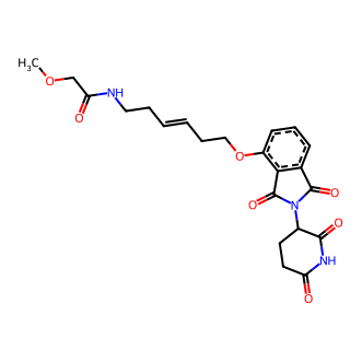 COCC(=O)NCC/C=C/CCOc1cccc2c1C(=O)N(C1CCC(=O)NC1=O)C2=O